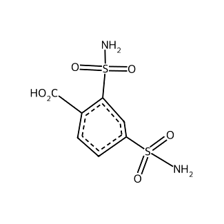 NS(=O)(=O)c1ccc(C(=O)O)c(S(N)(=O)=O)c1